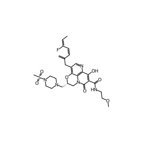 C=C(/C=C\C(F)=C/C)Cc1cnc2c(O)c(C(=O)NCCOC)c(=O)n3c2c1O[C@@H](CN1CCN(S(C)(=O)=O)CC1)C3